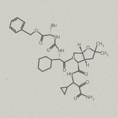 CCC(C)[C@H](NC(=O)N[C@H](C(=O)N1C[C@@H]2OC(C)(C)C[C@@H]2[C@H]1C(=O)NC(C(=O)C(N)=O)C1CC1)C1CCCCC1)C(=O)OCc1ccccc1